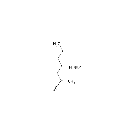 Br.CCCCCC(C)C.N